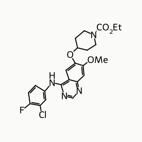 CCOC(=O)N1CCC(Oc2cc3c(Nc4ccc(F)c(Cl)c4)ncnc3cc2OC)CC1